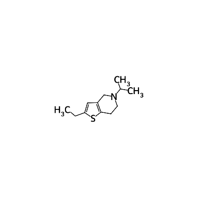 CCc1cc2c(s1)CCN(C(C)C)C2